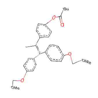 COCOc1ccc(C(=C(C)c2ccc(OC(=O)C(C)(C)C)cc2)c2ccc(OCOC)cc2)cc1